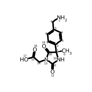 C[C@@]1(c2ccc(CN)cc2)NC(=O)N(CC(=O)O)C1=O